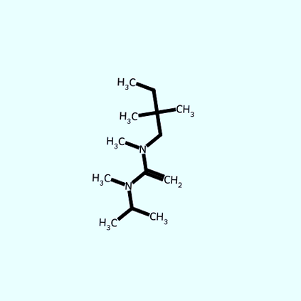 C=C(N(C)CC(C)(C)CC)N(C)C(C)C